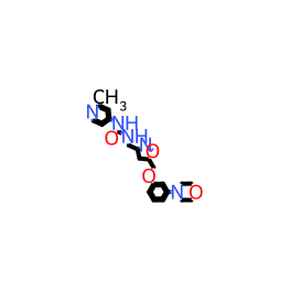 Cc1cc(NC(=O)NCC2=NOC(COc3cccc(N4CCOCC4)c3)C2)ccn1